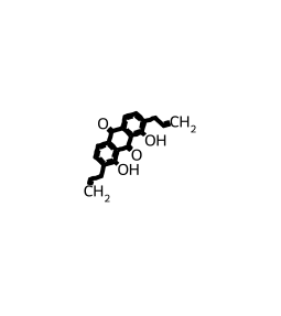 C=CCc1ccc2c(c1O)C(=O)c1c(ccc(CC=C)c1O)C2=O